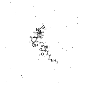 COC(=O)[C@H](CCCCN)NCCCC[C@@]12CCN(CC3CC3)[C@H](Cc3ccc(O)cc31)[C@@H]2C